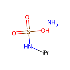 CC(C)NS(=O)(=O)O.N